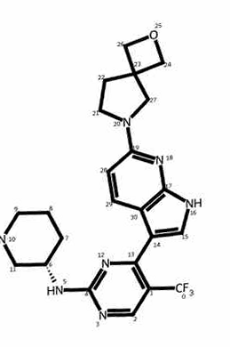 FC(F)(F)c1cnc(N[C@H]2CCCNC2)nc1-c1c[nH]c2nc(N3CCC4(COC4)C3)ccc12